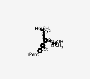 C=C(CO)C(=O)OCOc1cc(OCOC(=O)C(=C)CO)cc(-c2ccc(C3CCC(CCCCC)CC3)c(CC)c2)c1